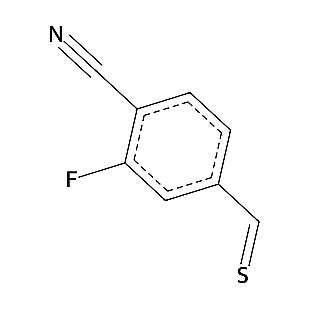 N#Cc1ccc(C=S)cc1F